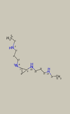 CCNCCCNC1CC1NCCCNCC